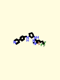 FC(F)(F)Cc1cc2c(N[C@@H]3CCC[C@H](NCc4ccc(-c5ccncc5)cc4)C3)ncnc2s1